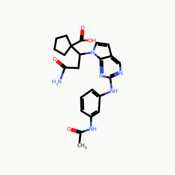 CC(=O)Nc1cccc(Nc2ncc3ccn(C(CC(N)=O)C4(C(=O)O)CCCC4)c3n2)c1